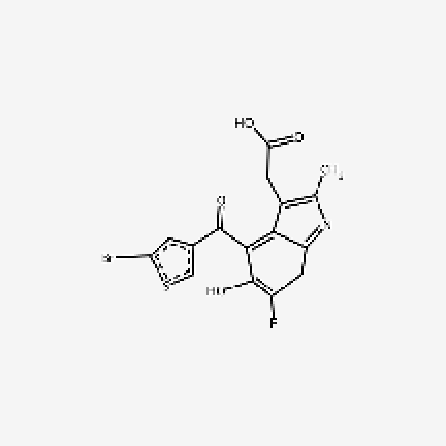 CC1=C(CC(=O)O)C2=C(C(=O)c3csc(Br)c3)C(O)=C(F)CC2=N1